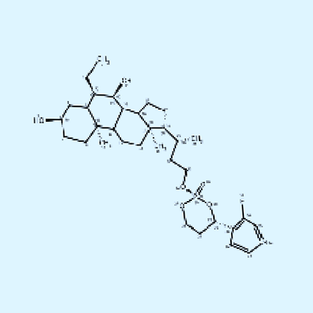 CC[C@@H]1C2C[C@H](O)CC[C@]2(C)C2CC[C@@]3(C)C(CC[C@@H]3[C@H](C)CCO[P@]3(=O)OCC[C@@H](c4ccncc4F)O3)C2[C@@H]1O